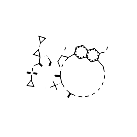 COc1cc2ccc3cc2cc1CCCCCCCOC(=O)N[C@@H](C(C)(C)C)C(=O)N1C[C@@]3(OC)C[C@H]1C(=O)N[C@]1(C(=O)NS(=O)(=O)C2CC2)C[C@H]1C1CC1